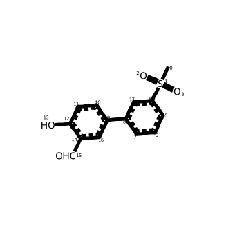 CS(=O)(=O)c1cccc(-c2ccc(O)c(C=O)c2)c1